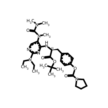 CCN(CC)c1ncc(N(C)C(=O)N(C)C)c(N[C@@H](Cc2ccc(OC(=O)N3CCCC3)cc2)C(=O)OC(C)(C)C)n1